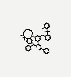 C=C(/C=C(\N=C(/C)c1ccccc1)c1cc(Cc2ccccc2C(C)(C)c2ccccc2C)cc(N2C/C=C\C=C/C(C)C(C)(C)c3ccccc32)c1)c1ccccc1